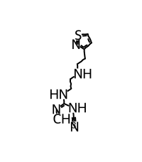 C/N=C(\NC#N)NCCNCCc1ccsn1